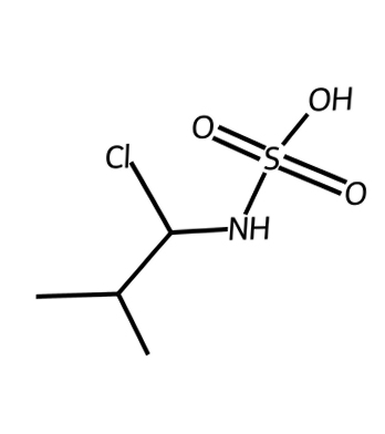 CC(C)C(Cl)NS(=O)(=O)O